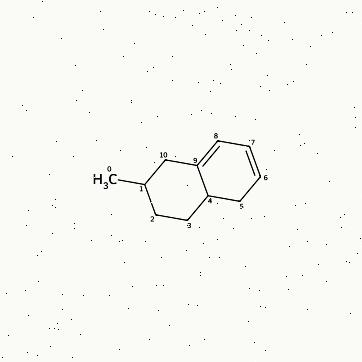 CC1CCC2CC=CC=C2C1